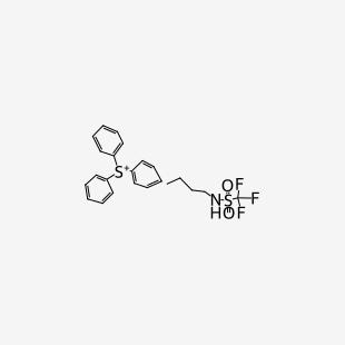 CCCCNS(=O)(=O)C(F)(F)F.c1ccc([S+](c2ccccc2)c2ccccc2)cc1